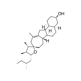 CC[C@@H](C)C[C@H]1O[C@]2(CC[C@@H]3C(=C(C)C2)C[C@H]2[C@H]3CC[C@@H]3C[C@H](O)CC[C@@]32C)[C@H](C)[C@@H]1C